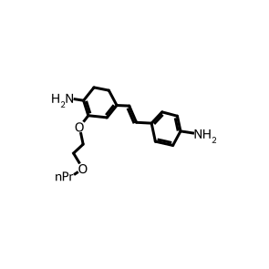 CCCOCCOC1=C(N)CCC(/C=C/c2ccc(N)cc2)=C1